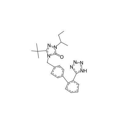 CCC(C)n1nc(C(C)(C)C)n(Cc2ccc(-c3ccccc3-c3nnn[nH]3)cc2)c1=O